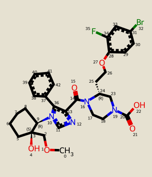 COC[C@]1(O)CCCC[C@H]1n1cnc(C(=O)N2CCN(C(=O)O)C[C@H]2CCOc2ccc(Br)cc2F)c1-c1ccccc1